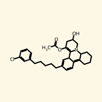 CC(=O)OC1=C2C3C=C(CCCCCc4cccc(Cl)c4)C=CC3=C3CCCCC3N2CC(O)C1